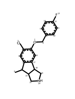 CC1c2cc(Cl)c(OCc3ccc(F)cc3)cc2C2CNCC12